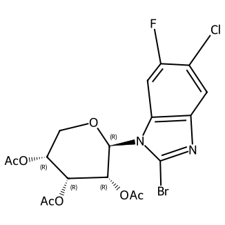 CC(=O)O[C@@H]1[C@H](OC(C)=O)[C@H](OC(C)=O)CO[C@H]1n1c(Br)nc2cc(Cl)c(F)cc21